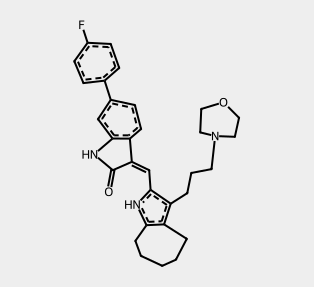 O=C1Nc2cc(-c3ccc(F)cc3)ccc2/C1=C/c1[nH]c2c(c1CCCN1CCOCC1)CCCCC2